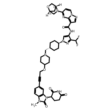 Cn1c(=O)n(C2CCC(=O)NC2=O)c2cc(C#CCOC3CCN(C[C@H]4CC[C@H](n5cc(NC(=O)c6cnn7ccc(N8C[C@H]9C[C@@H]8CO9)nc67)c(C(F)F)n5)CC4)CC3)ccc21